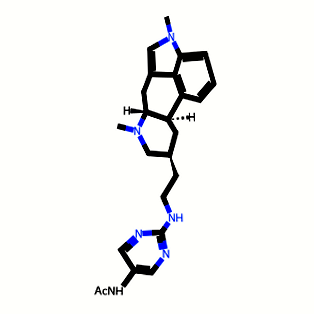 CC(=O)Nc1cnc(NCC[C@@H]2C[C@@H]3c4cccc5c4c(cn5C)C[C@H]3N(C)C2)nc1